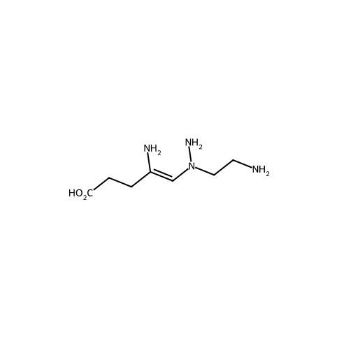 NCCN(N)/C=C(\N)CCC(=O)O